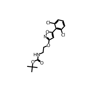 CC(C)(C)OC(=O)NCCOc1cc(-c2c(Cl)cccc2Cl)on1